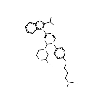 CN(C)CCCOc1ccc(N2C=NC(n3c(C(F)F)nc4ccccc43)=NC2N2CCOC(N)C2)cn1